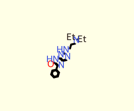 CCN(CC)CCCNc1ncc2nc(-c3ccccc3)c(=O)[nH]c2n1